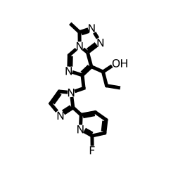 CCC(O)c1c(Cn2ccnc2-c2cccc(F)n2)ncn2c(C)nnc12